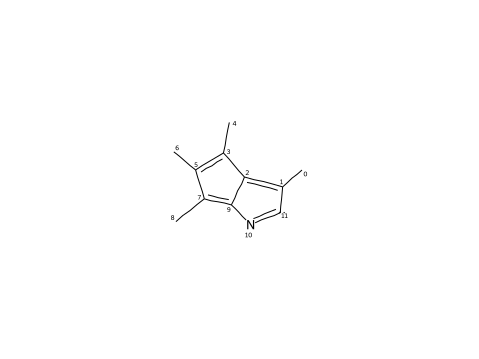 CC1=C2C(C)=C(C)C(C)=C2N=[C]1